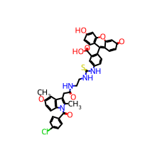 COc1ccc2c(c1)c(CC(=O)NCCNC(=S)Nc1ccc(-c3c4ccc(=O)cc-4oc4cc(O)ccc34)c(C(=O)O)c1)c(C)n2C(=O)c1ccc(Cl)cc1